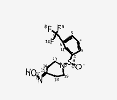 [O-][S+](c1cccc(C(F)(F)F)c1)N1CCC(=NO)CC1